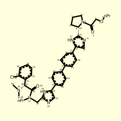 CCCOCC(=O)N1CCC[C@H]1c1ncc(-c2ccc(-c3ccc(-c4cnc(CN(CCC)C(=O)[C@@H](c5ccccc5Cl)N(C)C)[nH]4)cc3)cc2)[nH]1